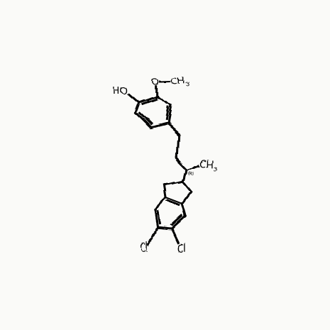 COc1cc(CC[C@@H](C)C2Cc3cc(Cl)c(Cl)cc3C2)ccc1O